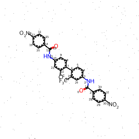 O=C(Nc1ccc(-c2ccc(NC(=O)c3ccc([N+](=O)[O-])cc3)cc2C(F)(F)F)c(C(F)(F)F)c1)c1ccc([N+](=O)[O-])cc1